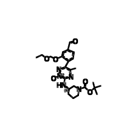 CCOCOc1cc(C=O)ccc1-c1n[n+]([O-])c(N[C@@H]2CCCN(C(=O)OC(C)(C)C)C2)nc1C